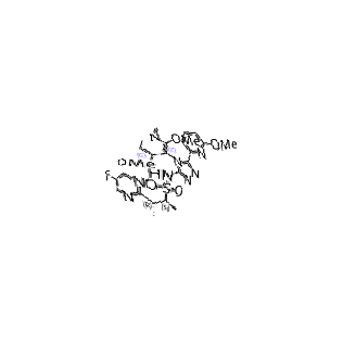 C=N/C(OC)=C(\C(=C/C)OC)n1c(NS(=O)(=O)[C@@H](C)[C@H](C)c2ncc(F)cn2)nnc1-c1cccc(OC)n1